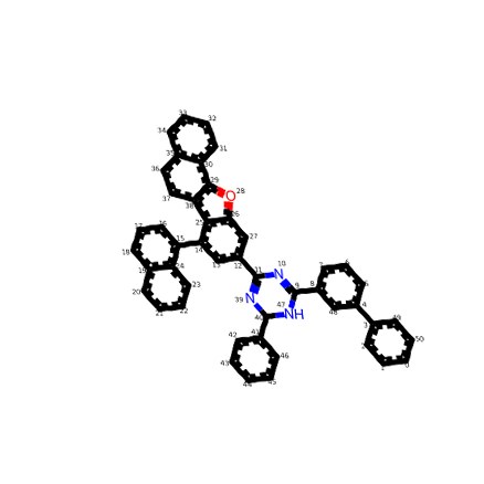 c1ccc(-c2cccc(C3=NC(c4cc(-c5cccc6ccccc56)c5c(c4)oc4c6ccccc6ccc45)=NC(c4ccccc4)N3)c2)cc1